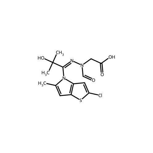 Cc1cc2sc(Cl)cc2n1/C(=N\N(C=O)CC(=O)O)C(C)(C)O